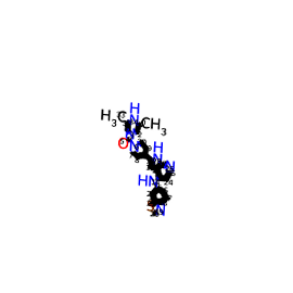 CC1CN(C(=O)N2CC=C(c3cc4c(Nc5ccc6ncsc6c5)ccnc4[nH]3)CC2)CC(C)N1